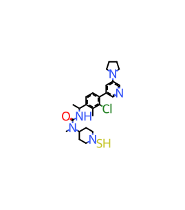 Cc1c(C(C)NC(=O)N(C)C2CCN(S)CC2)ccc(-c2cncc(N3CCCC3)c2)c1Cl